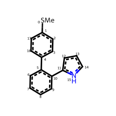 CSc1ccc(-c2ccccc2-c2ccc[nH]2)cc1